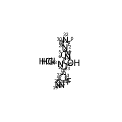 CC1CN(c2ccc(-c3ncc(-c4cc(F)c5nn(C)cc5c4)cc3O)nn2)C[C@H](C)N1C.Cl.Cl